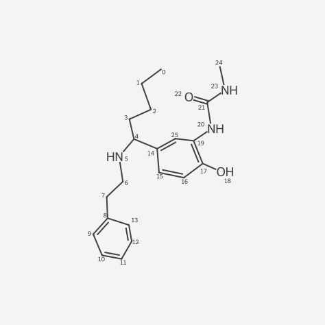 CCCCC(NCCc1ccccc1)c1ccc(O)c(NC(=O)NC)c1